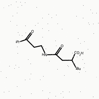 CCC(C)C(CC(=O)NCCC(=O)C(C)C)C(=O)O